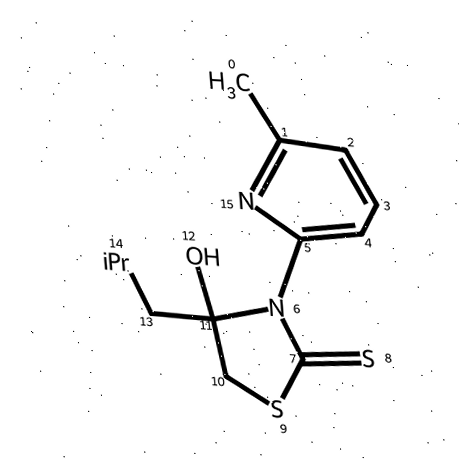 Cc1cccc(N2C(=S)SCC2(O)CC(C)C)n1